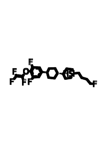 FCCCC[SiH]1CCC([C@H]2CC[C@H](c3cc(F)c(OC(F)=C(F)F)c(F)c3)CC2)CC1